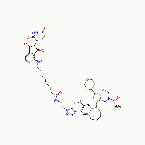 CNC(=O)N1CCC2=C(C1)C(C1CCCCc3cc(-c4cnn(CCNC(=O)CCCCCCCNc5cccc6c5C(=O)C(C5CCC(=O)NC5=O)C6=O)c4)c(C(F)F)cc31)=CC2C1CCOCC1